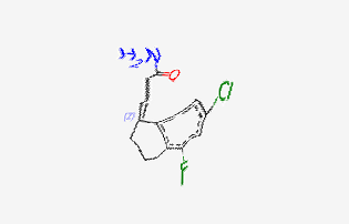 NC(=O)/C=C1/CCc2c(F)cc(Cl)cc21